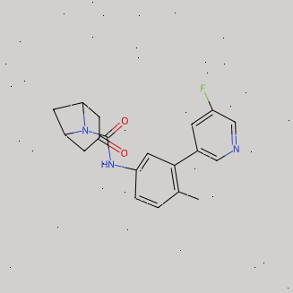 Cc1ccc(NC(=O)N2C3CC(=O)CC2C3)cc1-c1cncc(F)c1